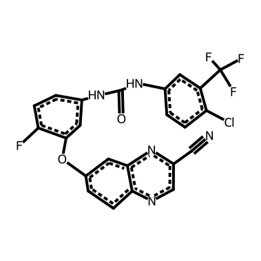 N#Cc1cnc2ccc(Oc3cc(NC(=O)Nc4ccc(Cl)c(C(F)(F)F)c4)ccc3F)cc2n1